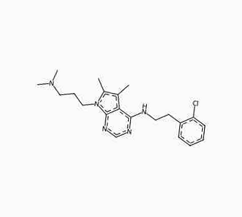 Cc1c(C)n(CCCN(C)C)c2ncnc(NCCc3ccccc3Cl)c12